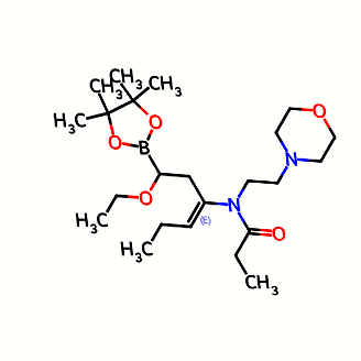 CC/C=C(\CC(OCC)B1OC(C)(C)C(C)(C)O1)N(CCN1CCOCC1)C(=O)CC